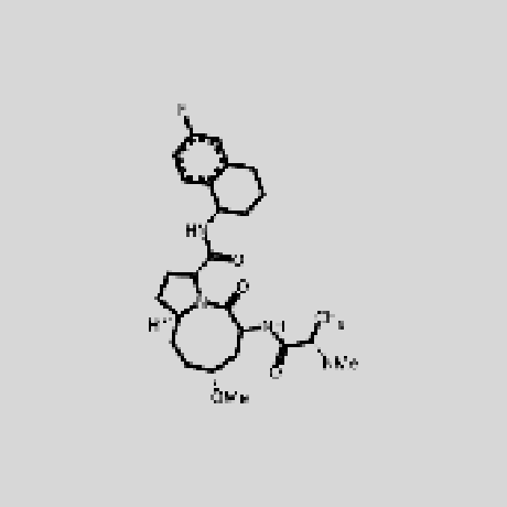 CN[C@@H](C)C(=O)N[C@H]1C[C@H](OC)CC[C@H]2CC[C@@H](C(=O)N[C@@H]3CCCc4cc(F)ccc43)N2C1=O